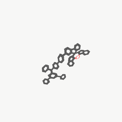 c1ccc(-c2cc(-c3ccccc3)cc(C(c3ccccc3)c3ccc(-c4ccc(-c5ccc6c(c5)C5(c7ccccc7-6)c6ccc7ccccc7c6Oc6c5ccc5ccccc65)cc4)cc3)c2)cc1